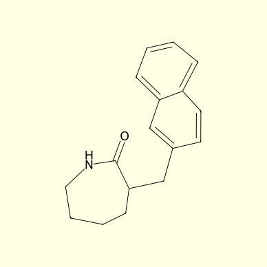 O=C1NCCCCC1Cc1ccc2ccccc2c1